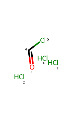 Cl.Cl.Cl.O=CCl